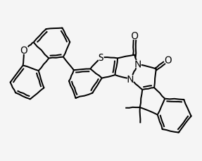 CC1(C)c2ccccc2-c2c1n1c3c(sc4c(-c5cccc6oc7ccccc7c56)cccc43)c(=O)n1c2=O